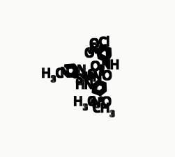 CN1CCc2nc(C(=O)N[C@@H]3C[C@@H](C(=O)N(C)C)CC[C@@H]3NC(=O)C(=O)Nc3ccc(Cl)c([N+](=O)[O-])c3)sc2C1